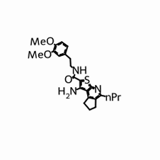 CCCc1nc2sc(C(=O)NCCc3ccc(OC)c(OC)c3)c(N)c2c2c1CCC2